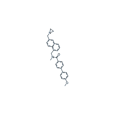 COc1ccc(-c2ccc(C(=O)N(C)Cc3cccc4cc(CN5CC5)ccc34)cc2)cc1